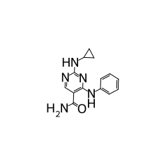 NC(=O)c1cnc(NC2CC2)nc1Nc1ccccc1